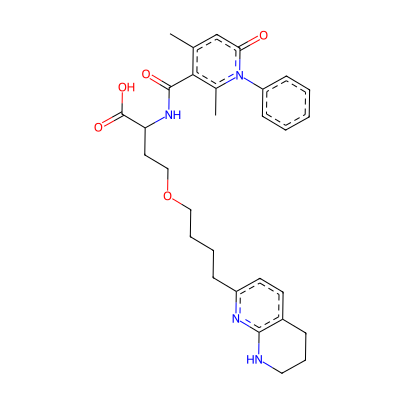 Cc1cc(=O)n(-c2ccccc2)c(C)c1C(=O)NC(CCOCCCCc1ccc2c(n1)NCCC2)C(=O)O